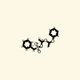 CC(Oc1ccccc1)OC(C)OS(=O)(=O)Cc1ccccc1